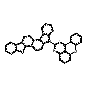 c1ccc2c(c1)Oc1cccc3nc(-n4c5ccccc5c5c6ccc7c8ccccc8oc7c6ccc54)nc-2c13